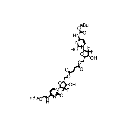 CCCCOCNc1ccn([C@H]2O[C@@H](COC(=O)CCC(=O)OC[C@H]3O[C@@H](N4C=CC(NC(=O)OCCCC)=NC4O)C(F)(F)[C@@H]3O)[C@H](O)C2(F)F)c(=O)n1